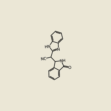 N#CC(c1nc2ccccc2[nH]1)C1NC(=O)c2ccccc21